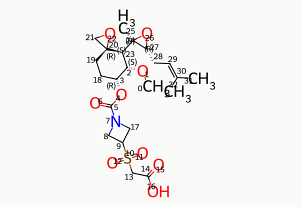 CO[C@@H]1[C@H](OC(=O)N2CC(S(=O)(=O)CC(=O)O)C2)CC[C@]2(CO2)[C@H]1[C@@]1(C)O[C@@H]1CC=C(C)C